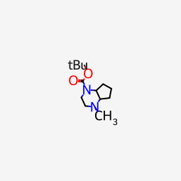 CN1CCN(C(=O)OC(C)(C)C)C2CCCC21